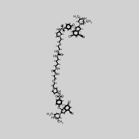 C[C@@H]1CN([C@H]2Cc3c(C#N)cc(Cl)cc3[C@@H]2Oc2ccc(S(=O)(=O)N[C@@H]3CCN(CCOCCNC(=O)NCCCCNC(=O)NCCOCCN4CC[C@@H](NS(=O)(=O)c5ccc(O[C@H]6c7cc(Cl)cc(C#N)c7C[C@@H]6N6C[C@@H](C)N[C@@H](C)C6)cc5)C4)C3)cc2)C[C@H](C)N1